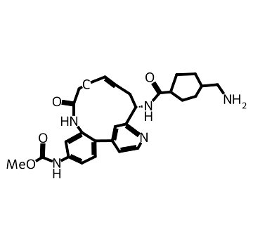 COC(=O)Nc1ccc2c(c1)NC(=O)CC/C=C/C[C@H](NC(=O)C1CCC(CN)CC1)c1cc-2ccn1